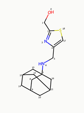 OCc1nc(CNC23CC4CC(CC(C4)C2)C3)cs1